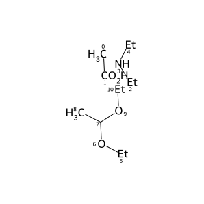 CC(=O)O.CCNCC.CCOC(C)OCC